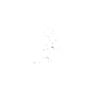 C=C(CCl)[C@@]1(CCC2OCCCO2)CC[C@@H](C)C(=O)C1